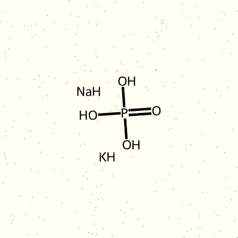 O=P(O)(O)O.[KH].[NaH]